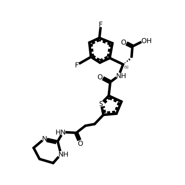 O=C(O)C[C@H](NC(=O)c1ccc(CCC(=O)NC2=NCCCN2)s1)c1cc(F)cc(F)c1